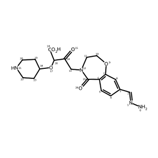 NN=Cc1ccc2c(c1)OCCN(CC(=O)C(OC1CCNCC1)C(=O)O)C2=O